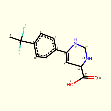 CC(F)(F)c1ccc(C2=CC(C(=O)O)NCN2)cc1